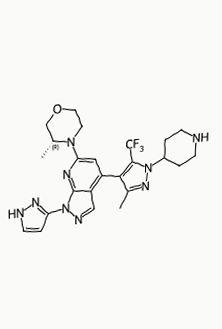 Cc1nn(C2CCNCC2)c(C(F)(F)F)c1-c1cc(N2CCOC[C@H]2C)nc2c1cnn2-c1cc[nH]n1